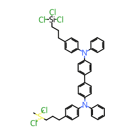 CS(Cl)(Cl)CCCc1ccc(N(c2ccccc2)c2ccc(-c3ccc(N(c4ccccc4)c4ccc(CCC[Si](Cl)(Cl)Cl)cc4)cc3)cc2)cc1